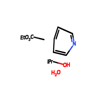 CC(C)O.CCOC(C)=O.O.c1ccncc1